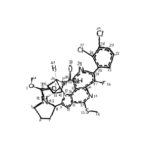 COC(=O)N1CCCC1c1cc2c(SC)nc3c(F)c(-c4cccc(Cl)c4Cl)ncc3c2n1[C@H]1[C@@H]2C[C@H]1N(C(=O)O)C2